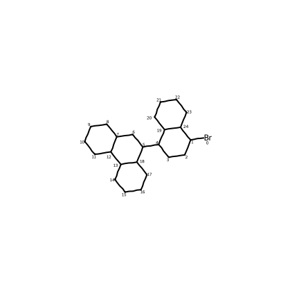 BrC1CCC(C2CC3CCCCC3C3CCCCC32)C2CCCCC12